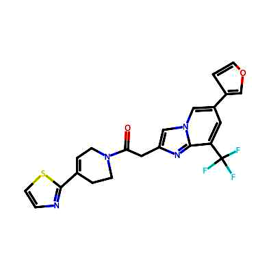 O=C(Cc1cn2cc(-c3ccoc3)cc(C(F)(F)F)c2n1)N1CC=C(c2nccs2)CC1